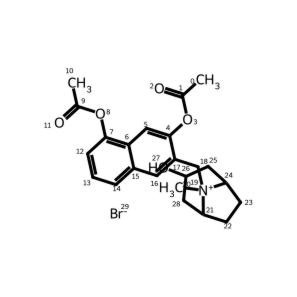 CC(=O)Oc1cc2c(OC(C)=O)cccc2cc1C[N+]1(C)C2CCC1CC(O)C2.[Br-]